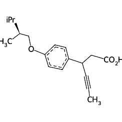 CC#CC(CC(=O)O)c1ccc(OC[C@@H](C)C(C)C)cc1